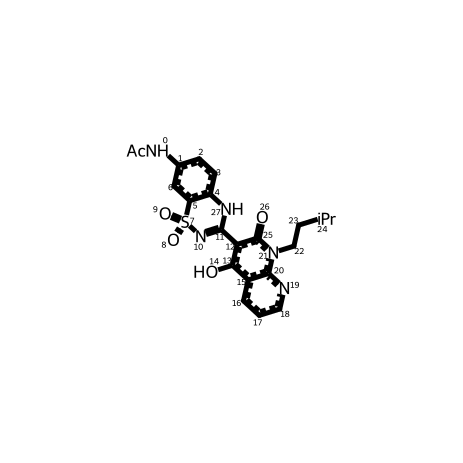 CC(=O)Nc1ccc2c(c1)S(=O)(=O)N=C(c1c(O)c3cccnc3n(CCC(C)C)c1=O)N2